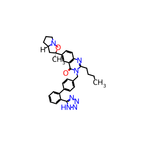 CCCCc1nc2ccc([C@@]3(C)C[C@@H]4CCCN4O3)cc2c(=O)n1Cc1ccc(-c2ccccc2-c2nnn[nH]2)cc1